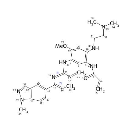 C=CC(=O)Nc1cc(N/C(N=C)=N/C(=C\C)c2ccc3c(cnn3C)c2)c(OC)cc1NCCN(C)C